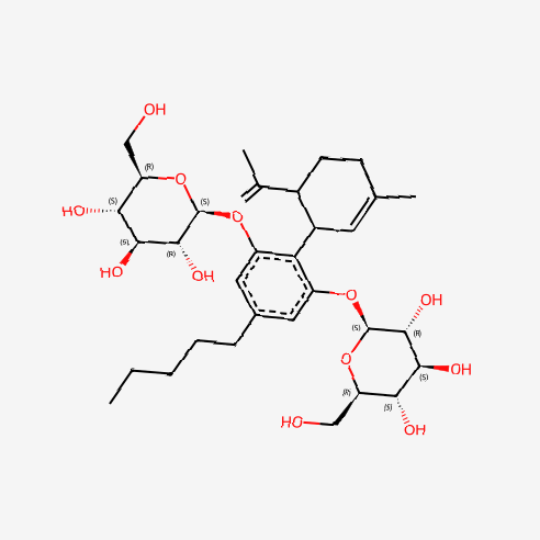 C=C(C)C1CCC(C)=CC1c1c(O[C@@H]2O[C@H](CO)[C@@H](O)[C@H](O)[C@H]2O)cc(CCCCC)cc1O[C@@H]1O[C@H](CO)[C@@H](O)[C@H](O)[C@H]1O